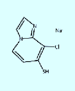 Sc1ccn2ccnc2c1Cl.[Na]